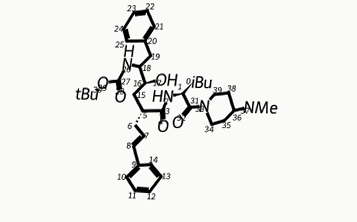 CC[C@H](C)[C@H](NC(=O)[C@H](CC=Cc1ccccc1)C[C@H](O)C(Cc1ccccc1)NC(=O)OC(C)(C)C)C(=O)N1CCC(NC)CC1